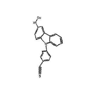 N#Cc1ccc(-n2c3ccccc3c3cc(BO)ccc32)cc1